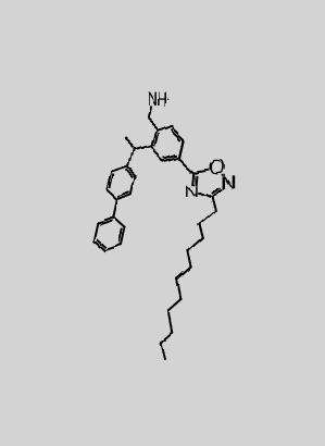 CCCCCCCCCCCc1noc(-c2ccc(C[NH])c(C(C)c3ccc(-c4ccccc4)cc3)c2)n1